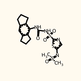 CS(C)(=O)=Nc1cnc(S(=O)(=O)NC(=O)Nc2c3c(cc4c2CCC4)CCC3)s1